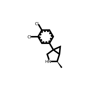 C[C@H]1NCC2(c3ccc(Cl)c(Cl)c3)CC12